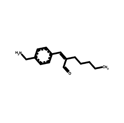 CCCCCC(C=O)=Cc1ccc(CN)cc1